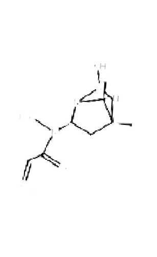 C=CC(=O)N(C)[C@@H]1C[C@H]2CN(C)N1[C@@H]2N